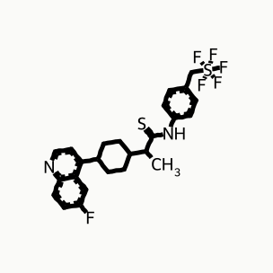 CC(C(=S)Nc1ccc(CS(F)(F)(F)(F)F)cc1)C1CCC(c2ccnc3ccc(F)cc23)CC1